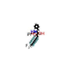 CC(C)OC(=O)N[C@@H](Cc1ccccc1)[C@H](O)CCC(F)(F)C(F)(F)C(F)(F)C(F)(F)C(F)(F)C(F)(F)F